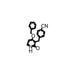 N#Cc1ccc(Cc2c(OCc3ccccc3)cc[nH]c2=O)cc1